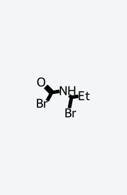 CCC(Br)NC(=O)Br